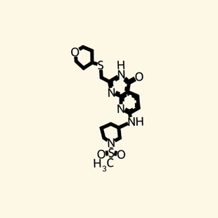 CS(=O)(=O)N1CCCC(Nc2ccc3c(=O)[nH]c(CSC4CCOCC4)nc3n2)C1